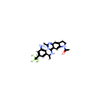 CC(=O)N1CCc2cc3nc(C)nc(NC(C)c4cc(N)cc(C(F)(F)F)c4)c3cc21